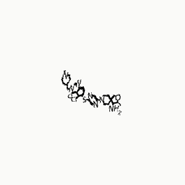 C[C@@H]1OCC2(CCN(c3cnc(Sc4ccc5ncn(CC6CCN(C)CC6)c(=O)c5c4Cl)cn3)CC2)[C@@H]1N